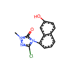 Cn1nc(Cl)n(-c2cccc3ccc(O)cc23)c1=O